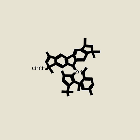 CCC1=[C](/[Zr+2](=[C](/C)c2ccc(C)cc2)[CH]2c3cc4c(cc3-c3cc5c(cc32)C(C)(C)C=C5C)C(C)=CC4(C)C)C(C)C=C1C(C)(C)C.[Cl-].[Cl-]